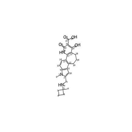 Cn1c(CNC2(C)CCC2)cc2c3c(ccc21)-c1[nH]c(=O)c(C(=O)O)c(O)c1CCC3